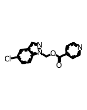 O=C(OCn1ncc2cc(Cl)ccc21)c1ccncc1